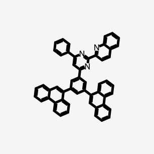 c1ccc(-c2cc(-c3cc(-c4cc5ccccc5c5ccccc45)cc(-c4cc5ccccc5c5ccccc45)c3)nc(-c3ccc4ccccc4n3)n2)cc1